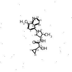 Cc1ccc(N2C[C@@H](C)[C@@H](NC(=O)[C@@H](O)C3CC3)C2)c2cccnc12